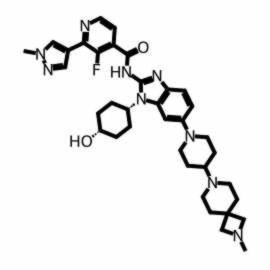 CN1CC2(CCN(C3CCN(c4ccc5nc(NC(=O)c6ccnc(-c7cnn(C)c7)c6F)n([C@H]6CC[C@@H](O)CC6)c5c4)CC3)CC2)C1